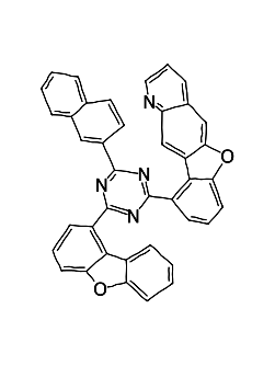 c1ccc2cc(-c3nc(-c4cccc5oc6ccccc6c45)nc(-c4cccc5oc6cc7cccnc7cc6c45)n3)ccc2c1